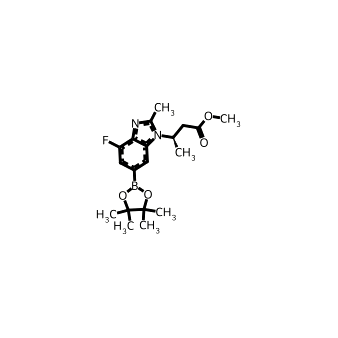 COC(=O)C[C@@H](C)n1c(C)nc2c(F)cc(B3OC(C)(C)C(C)(C)O3)cc21